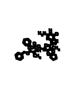 C[C@H](NP(=O)(OC[C@H]1O[C@@H](n2cnc3c(=O)[nH]c(N)nc32)C2(C)OC3(CCCC3)OC12)Oc1ccccc1)C(=O)OCc1ccccc1